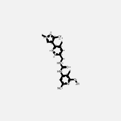 CCOc1nc(C#N)cc(NC(=O)NCc2cc(C)c(-c3cn(C)nc3C(F)(F)F)nn2)c1C